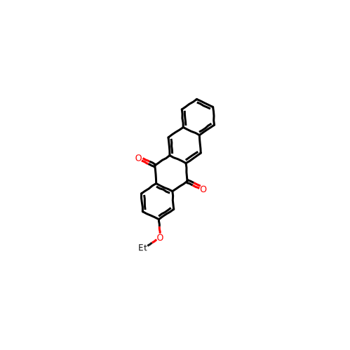 CCOc1ccc2c(c1)C(=O)c1cc3ccccc3cc1C2=O